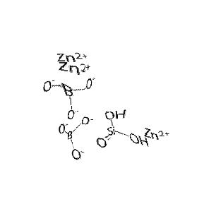 O=[Si](O)O.[O-]B([O-])[O-].[O-]B([O-])[O-].[Zn+2].[Zn+2].[Zn+2]